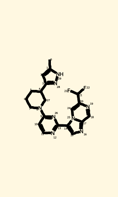 Cc1cc(C2CCCN(c3ccnc(-c4cnc5cnc(C(F)F)cn45)n3)C2)n[nH]1